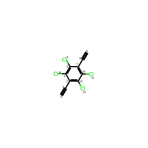 C#Cc1c(Cl)c(Cl)c(C#C)c(Cl)c1Cl